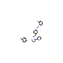 COc1cc(CC(=O)N2C(c3ccccc3)CC[C@H]2COc2ccc(C(=O)O)cc2)ccc1NC(=O)Nc1ccccc1Cl